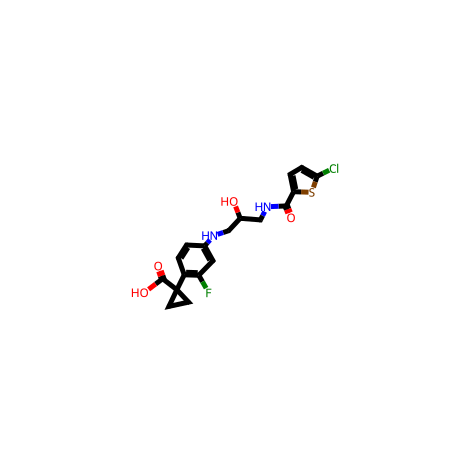 O=C(NCC(O)CNc1ccc(C2(C(=O)O)CC2)c(F)c1)c1ccc(Cl)s1